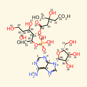 Nc1ncnc2c1ncn2[C@@H]1O[C@H](CO)[C@@H](O)[C@H]1O.O=C[C@H](OP(=O)(O)O)[C@@H](OC(=O)CC(O)(CC(=O)O)C(=O)O)[C@H](O)[C@H](O)CO